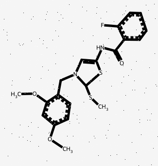 COc1ccc(CN2C=C(NC(=O)c3ccccc3F)SC2SC)c(OC)c1